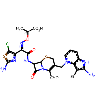 CCc1c(N)[nH]c2ccc[n+](CC3=C(C=O)N4C(=O)C(NC(=O)/C(=N\O[C@@H](C)C(=O)O)c5nc(N)sc5Cl)C4SC3)c12